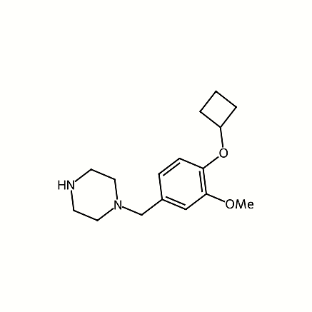 COc1cc(CN2CCNCC2)ccc1OC1CCC1